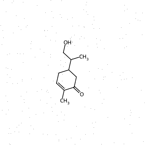 CC1=CCC(C(C)CO)CC1=O